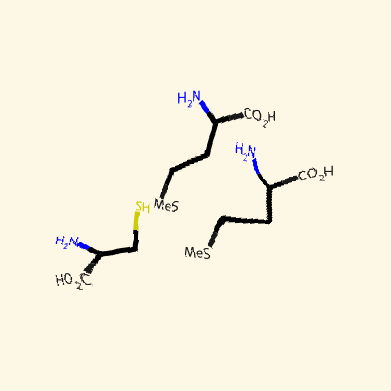 CSCCC(N)C(=O)O.CSCCC(N)C(=O)O.NC(CS)C(=O)O